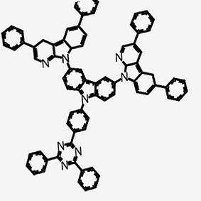 C1=CC2C(=C3CC(c4ccccc4)=CN=C3N2c2ccc3c(c2)c2cc(N4C5=CC=C(c6ccccc6)CC5=C5C=C(c6ccccc6)C=NC54)ccc2n3-c2ccc(-c3nc(-c4ccccc4)nc(-c4ccccc4)n3)cc2)C=C1c1ccccc1